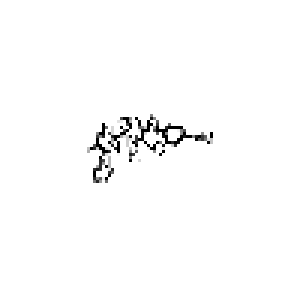 Cc1cnc(C(=O)NC2COc3cc(C#N)ccc3N(C)C2=O)nc1N1CCCC1